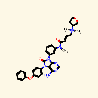 CN(C(=O)/C=C/C[N+](C)(C)[C@H]1CCOC1)c1cccc(-n2c(=O)n(-c3ccc(Oc4ccccc4)cc3)c3c(N)ncnc32)c1